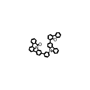 O=c1c2ccccc2c2cccc3c4ccc(-c5cccc(-n6c7ccccc7c7cc(-c8cccc9c8oc8ccccc89)ccc76)c5)cc4n1c23